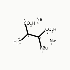 CCCCC(C(=O)O)C(C)C(=O)O.[Na].[Na]